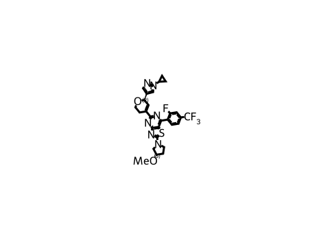 CO[C@H]1CCN(c2nc3nc(C4=C[C@H](c5cnn(C6CC6)c5)OCC4)nc(-c4ccc(C(F)(F)F)cc4F)c3s2)C1